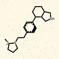 C[C@@H]1CCCN1CCc1c#cc(C2CCCC3CNCC32)cc1